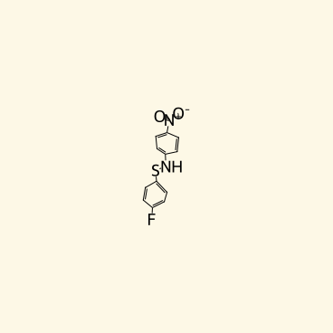 O=[N+]([O-])c1ccc(NSc2ccc(F)cc2)cc1